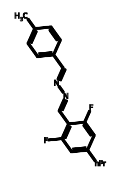 CCCc1cc(F)c(C=NN=Cc2ccc(C)cc2)c(F)c1